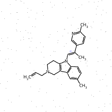 C=CCN1CCc2c(c3cc(C)ccc3n2/C=C(\C)c2ccc(C)nc2)C1